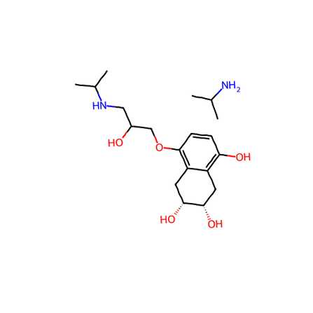 CC(C)N.CC(C)NCC(O)COc1ccc(O)c2c1C[C@@H](O)[C@@H](O)C2